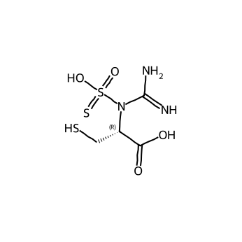 N=C(N)N([C@@H](CS)C(=O)O)S(=O)(O)=S